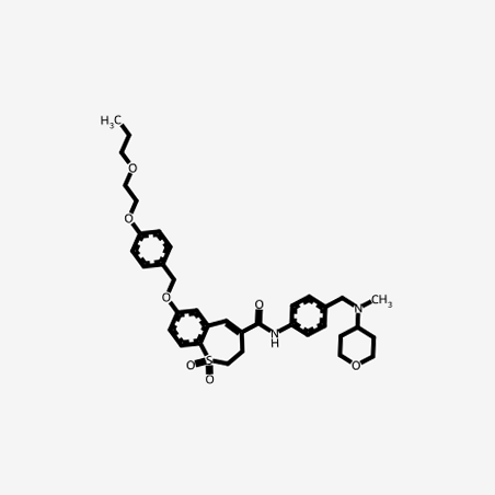 CCCOCCOc1ccc(COc2ccc3c(c2)C=C(C(=O)Nc2ccc(CN(C)C4CCOCC4)cc2)CCS3(=O)=O)cc1